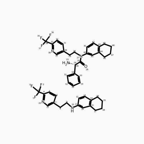 FC(F)(F)c1ccc(CCNc2ccc3c(c2)CCCC3)cn1.N[C@H](C(=O)N(CCc1ccc(C(F)(F)F)nc1)c1ccc2c(c1)CCCC2)c1ccccc1